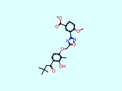 COC(=O)c1ccc(OC)c(-c2noc(COc3ccc(C(=O)CC(C)(C)C)c(O)c3C)n2)c1